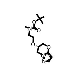 CN(CCO[C@@H]1COc2ccnn2C1)C(=O)OC(C)(C)C